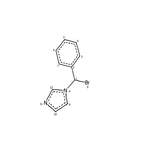 BrC(c1ccccc1)n1ccnc1